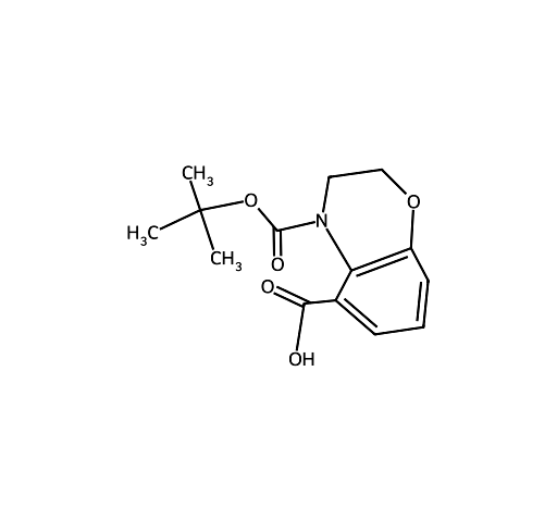 CC(C)(C)OC(=O)N1CCOc2cccc(C(=O)O)c21